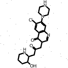 O=C(CC1C=Nc2cc(N3CCNCC3)c(Cl)cc2C1=O)CC1NCCCC1O